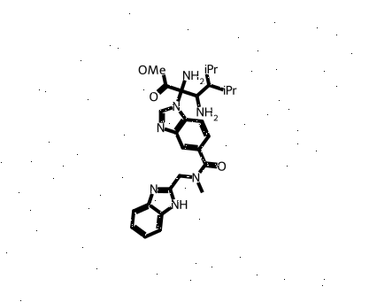 COC(=O)C(N)(C(N)C(C(C)C)C(C)C)n1cnc2cc(C(=O)N(C)Cc3nc4ccccc4[nH]3)ccc21